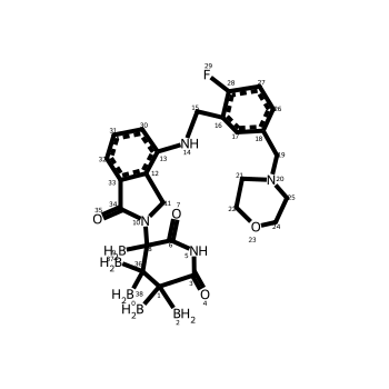 BC1(B)C(=O)NC(=O)C(B)(N2Cc3c(NCc4cc(CN5CCOCC5)ccc4F)cccc3C2=O)C1(B)B